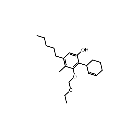 CCCCCc1cc(O)c(C2C=CCCC2)c(OCOCC)c1C